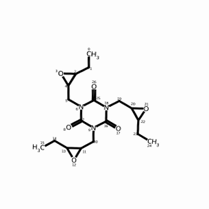 CCC1OC1Cn1c(=O)n(CC2OC2CC)c(=O)n(CC2OC2CC)c1=O